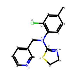 Cc1ccc(N(Cc2cccnc2)C2=NCCS2)c(Cl)c1